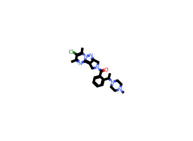 Cc1nc2c3c(nn2c(C)c1Cl)CN(C(=O)c1ccccc1C(C)N1CCN(C)CC1)C3